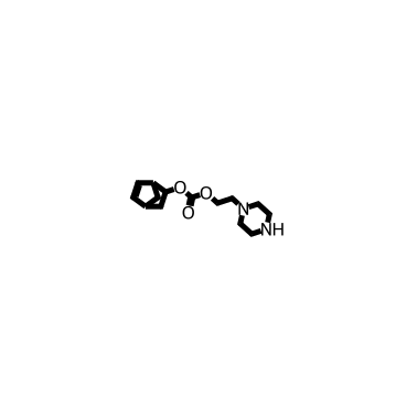 O=C(OCCN1CCNCC1)OC1CC2C=CC1C2